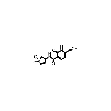 C#Cc1ccc(C(=O)NC2C=CS(=O)(=O)C2)c(=O)[nH]1